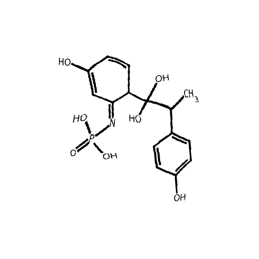 CC(c1ccc(O)cc1)C(O)(O)C1C=CC(O)=CC1=NP(=O)(O)O